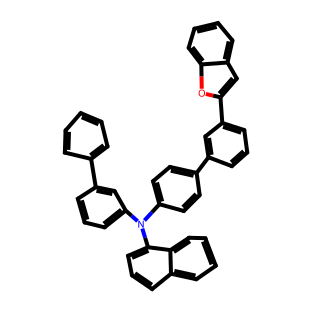 c1ccc(-c2cccc(N(c3ccc(-c4cccc(-c5cc6ccccc6o5)c4)cc3)c3cccc4ccccc34)c2)cc1